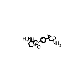 NC(=O)CC1(c2ccc(N3C[C@@H]4[C@H](N)CCCN4C3=O)cc2)CC1